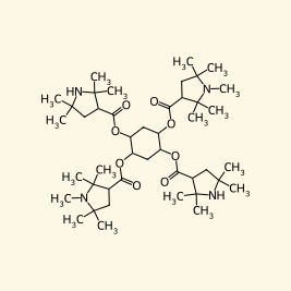 CN1C(C)(C)CC(C(=O)OC2CC(OC(=O)C3CC(C)(C)NC3(C)C)C(OC(=O)C3CC(C)(C)N(C)C3(C)C)CC2OC(=O)C2CC(C)(C)NC2(C)C)C1(C)C